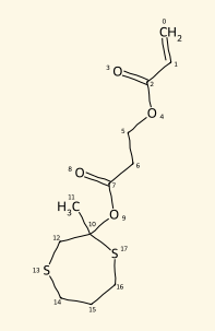 C=CC(=O)OCCC(=O)OC1(C)CSCCCS1